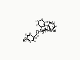 CNC(=S)[C@]1(c2cccnc2)CCCC[C@H]1NOCc1ccc(F)cc1